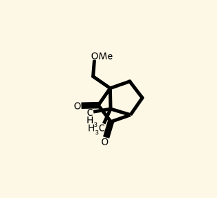 COCC12CCC(C(=O)C1=O)C2(C)C